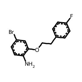 Nc1ccc(Br)cc1OCCc1ccc(F)cc1